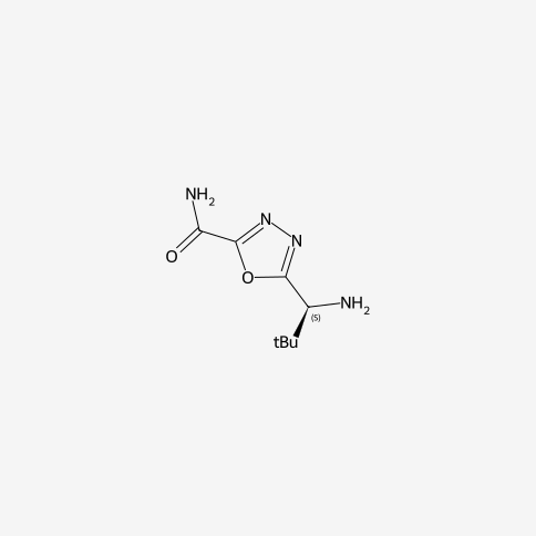 CC(C)(C)[C@H](N)c1nnc(C(N)=O)o1